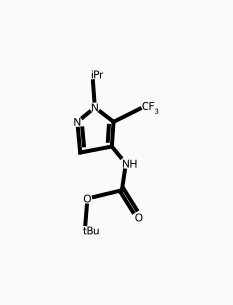 CC(C)n1ncc(NC(=O)OC(C)(C)C)c1C(F)(F)F